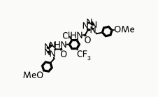 COc1ccc(Cn2nnnc2C(=O)Nc2cc(C(F)(F)F)cc(NC(=O)c3nnnn3Cc3ccc(OC)cc3)c2Cl)cc1